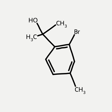 Cc1ccc(C(C)(C)O)c(Br)c1